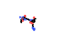 C/C=C(/C)OC(=O)N[C@@H](CCCCNC(=O)c1cc(C(C)=O)ccc1OCCCN=[N+]=[N-])C(N)=O